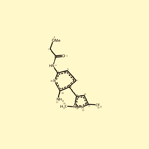 COCC(=O)Nc1ccc(-c2cc(C(F)(F)F)nn2C)c(N)n1